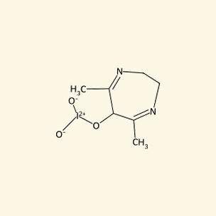 CC1=NCCN=C(C)C1O[I+2]([O-])[O-]